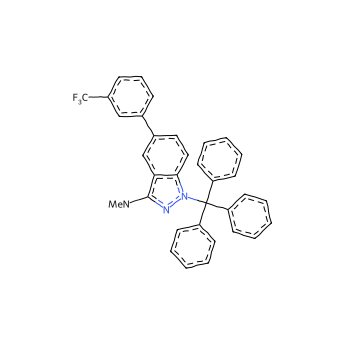 CNc1nn(C(c2ccccc2)(c2ccccc2)c2ccccc2)c2ccc(-c3cccc(C(F)(F)F)c3)cc12